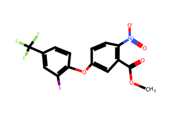 COC(=O)c1cc(Oc2ccc(C(F)(F)F)cc2I)ccc1[N+](=O)[O-]